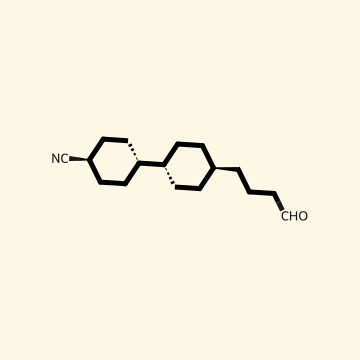 N#C[C@H]1CC[C@H]([C@H]2CC[C@H](CCCC=O)CC2)CC1